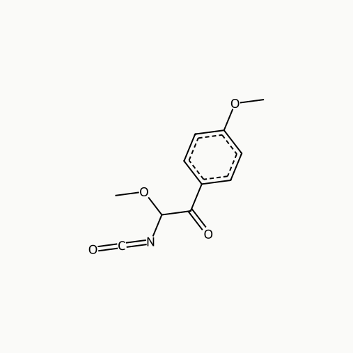 COc1ccc(C(=O)C(N=C=O)OC)cc1